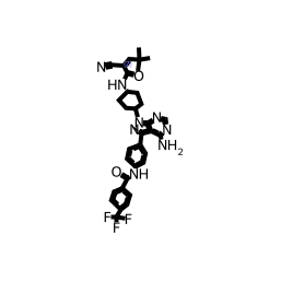 CC(C)(C)/C=C(/C#N)C(=O)NC1CCC(n2nc(-c3ccc(NC(=O)c4ccc(C(F)(F)F)cc4)cc3)c3c(N)ncnc32)CC1